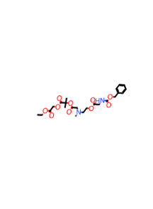 CCOC(=O)COC(=O)C(C)(C)OC(=O)CN(C)CCOC(=O)CNC(=O)OCc1ccccc1